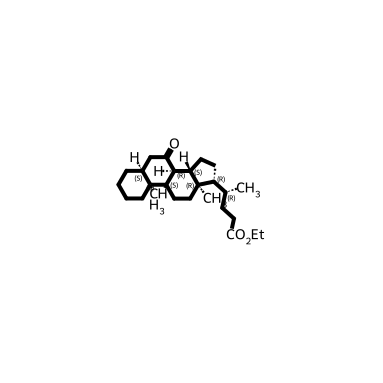 CCOC(=O)CC[C@@H](C)[C@H]1CC[C@H]2[C@@H]3C(=O)C[C@@H]4CCCC[C@]4(C)[C@H]3CC[C@]12C